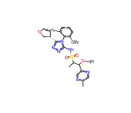 COc1cccc(OC)c1-n1c(NS(=O)(=O)C(C)C(OC(C)C)c2cnc(C)cn2)nnc1[C@H]1CCOC1